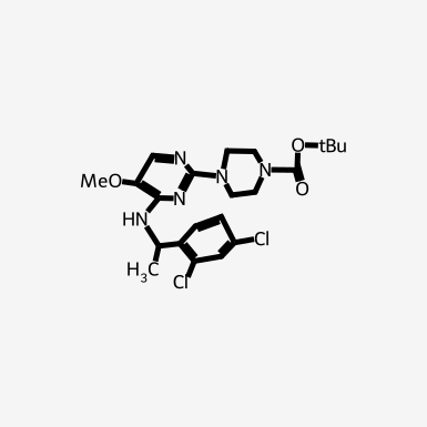 COc1cnc(N2CCN(C(=O)OC(C)(C)C)CC2)nc1NC(C)c1ccc(Cl)cc1Cl